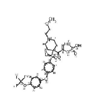 COCCN1CCC(C(=O)NOP(=O)(O)O)(S(=O)(=O)c2ccc(Oc3ccc(OC(F)(F)F)cc3)cc2)CC1